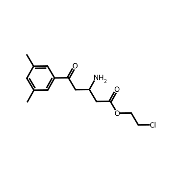 Cc1cc(C)cc(C(=O)CC(N)CC(=O)OCCCl)c1